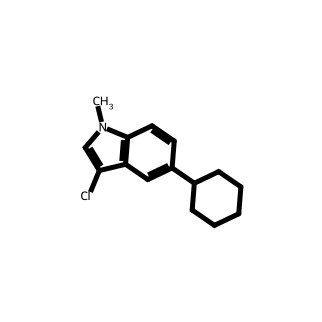 Cn1cc(Cl)c2cc(C3CCCCC3)ccc21